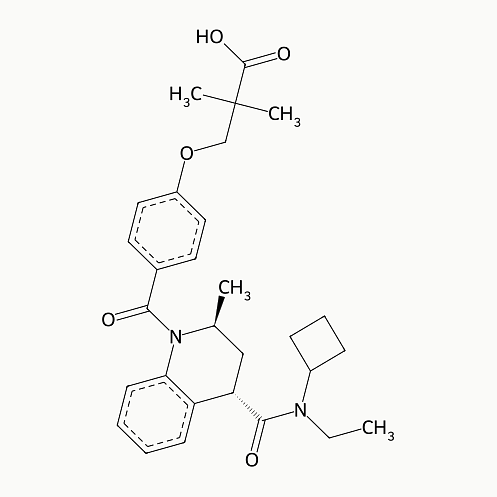 CCN(C(=O)[C@H]1C[C@H](C)N(C(=O)c2ccc(OCC(C)(C)C(=O)O)cc2)c2ccccc21)C1CCC1